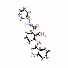 Cc1c(Oc2ccnc3ccccc23)cccc1C(=O)NCc1cccnc1